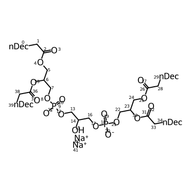 CCCCCCCCCCCC(=O)OCC(COP(=O)([O-])OCC(O)COP(=O)([O-])OCC(COC(=O)CCCCCCCCCCC)OC(=O)CCCCCCCCCCC)OC(=O)CCCCCCCCCCC.[Na+].[Na+]